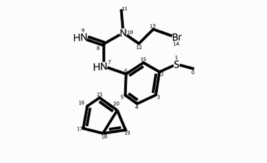 CSc1cccc(NC(=N)N(C)CCBr)c1.c1cc2cc-2c1